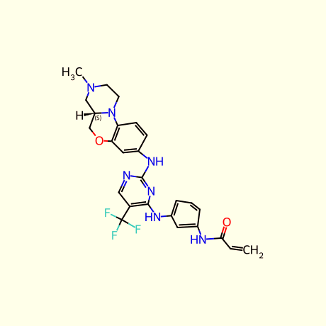 C=CC(=O)Nc1cccc(Nc2nc(Nc3ccc4c(c3)OC[C@@H]3CN(C)CCN43)ncc2C(F)(F)F)c1